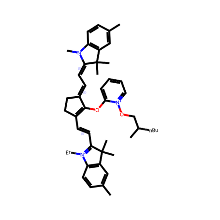 CCCCC(C)CO[n+]1ccccc1OC1=C(/C=C/C2=[N+](CC)c3ccc(C)cc3C2(C)C)CC/C1=C\C=C1\N(C)c2ccc(C)cc2C1(C)C